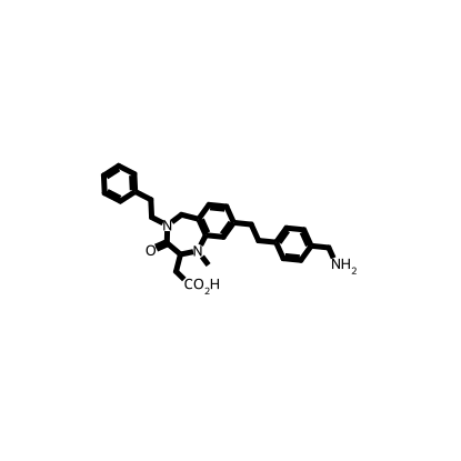 CN1c2cc(CCc3ccc(CN)cc3)ccc2CN(CCc2ccccc2)C(=O)C1CC(=O)O